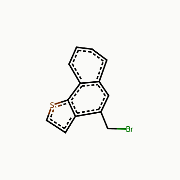 BrCc1cc2ccccc2c2sccc12